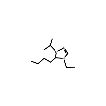 CCCCC1N(CC)C=NN1C(C)C